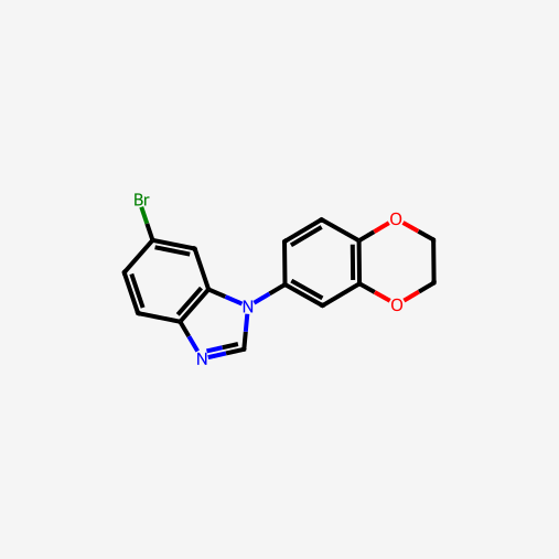 Brc1ccc2ncn(-c3ccc4c(c3)OCCO4)c2c1